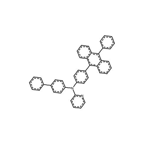 c1ccc(-c2ccc(N(c3ccc(-c4c5ccccc5c(-c5ccccc5)c5ccccc45)cc3)c3ccccn3)cc2)cc1